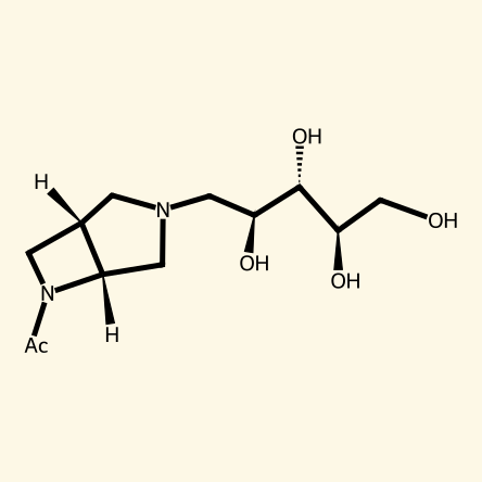 CC(=O)N1C[C@@H]2CN(C[C@H](O)[C@H](O)[C@H](O)CO)C[C@@H]21